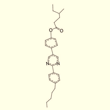 CCCCCc1ccc(-c2ncc(-c3ccc(OC(=O)CCC(C)CC)cc3)cn2)cc1